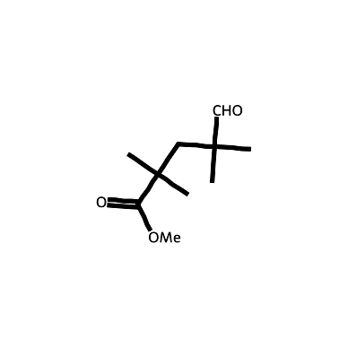 COC(=O)C(C)(C)CC(C)(C)C=O